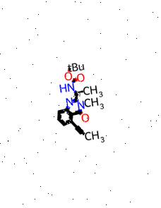 CC#Cc1cccc2nc([C@H](C)NC(=O)OC(C)(C)C)n(C)c(=O)c12